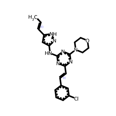 C/C=C/c1cc(Nc2nc(/C=C/c3cccc(Cl)c3)nc(N3CCOCC3)n2)n[nH]1